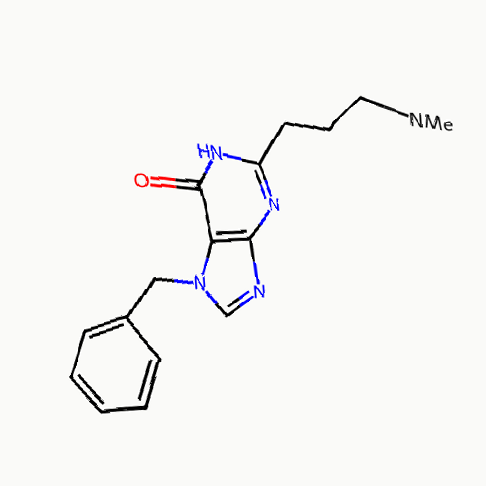 CNCCCc1nc2ncn(Cc3ccccc3)c2c(=O)[nH]1